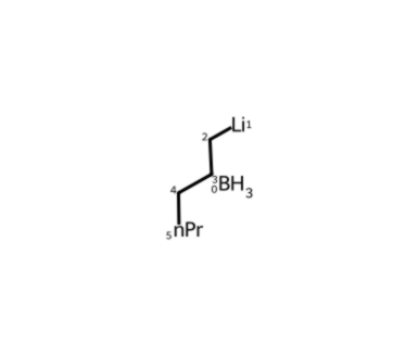 B.[Li][CH2]CCCCC